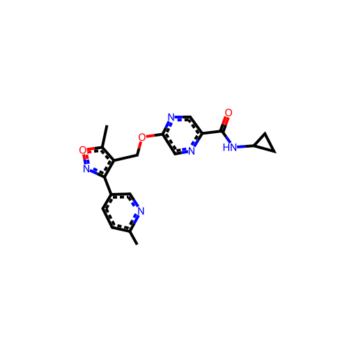 Cc1ccc(-c2noc(C)c2COc2cnc(C(=O)NC3CC3)cn2)cn1